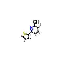 Cc1cccc(-c2cccs2)n1